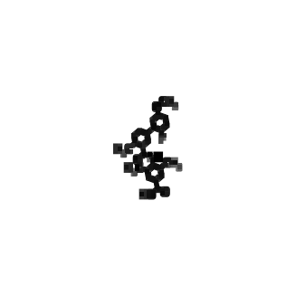 COc1ccc(F)c(-c2ccc(C)c(C(=O)Nc3c(C)cc(C(=O)O)cc3C)c2)c1